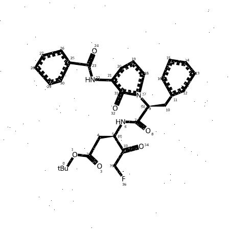 CC(C)(C)OC(=O)C[C@@H](NC(=O)[C@H](Cc1ccccc1)n1cccc(NC(=O)c2ccccc2)c1=O)C(=O)CF